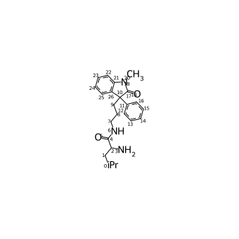 CC(C)CC(N)C(=O)NCCCC1(c2ccccc2)C(=O)N(C)c2ccccc21